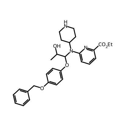 CCOC(=O)c1cccc(N(C2CCNCC2)C(Oc2ccc(OCc3ccccc3)cc2)C(C)O)n1